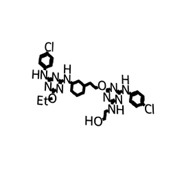 CCOc1nc(Nc2ccc(Cl)cc2)nc(NC2CCCC(CCOc3nc(NCCO)nc(Nc4ccc(Cl)cc4)n3)C2)n1